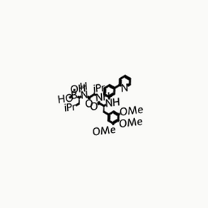 COc1cc(C[C@H](Nc2cccc(-c3ccccn3)c2)C(=O)N[C@H](C(=O)N[C@@H](CC(C)C)B(O)O)C(C)C)cc(OC)c1OC